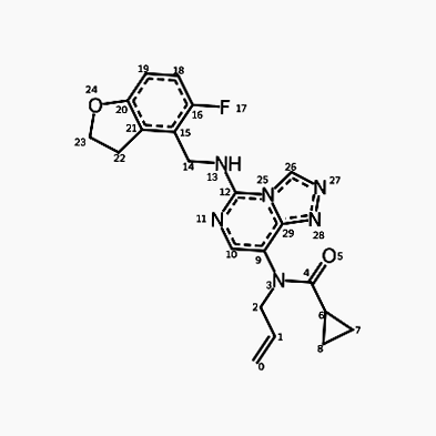 C=CCN(C(=O)C1CC1)c1cnc(NCc2c(F)ccc3c2CCO3)n2cnnc12